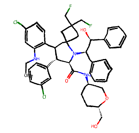 COCNc1cc(Cl)ccc1C1[C@@H](c2cccc(Cl)c2)[C@H](C(=O)N[C@@H]2CC[C@@H](CO)OC2)N([C@H](c2ccccc2)[C@@H](O)c2ccccc2)C12CC(CF)(CF)C2